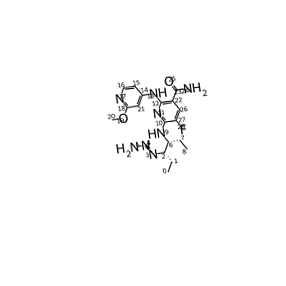 CC[C@H](N=NN)[C@@H](CC)Nc1nc(Nc2ccnc(OC)c2)c(C(N)=O)cc1F